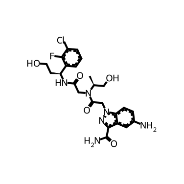 C[C@@H](CO)N(CC(=O)N[C@@H](CCO)c1cccc(Cl)c1F)C(=O)Cn1nc(C(N)=O)c2cc(N)ccc21